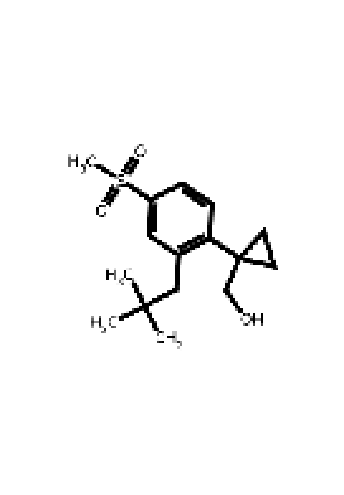 CC(C)(C)Cc1cc(S(C)(=O)=O)ccc1C1(CO)CC1